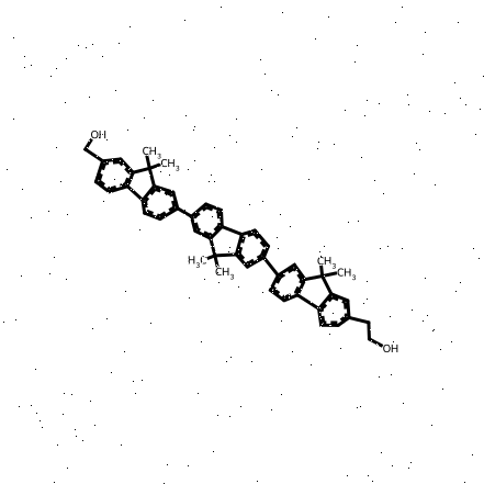 CC1(C)c2cc(CO)ccc2-c2ccc(-c3ccc4c(c3)C(C)(C)c3cc(-c5ccc6c(c5)C(C)(C)c5cc(CCO)ccc5-6)ccc3-4)cc21